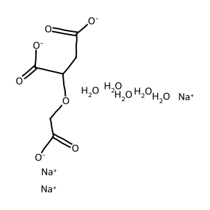 O.O.O.O.O.O=C([O-])COC(CC(=O)[O-])C(=O)[O-].[Na+].[Na+].[Na+]